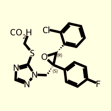 O=C(O)CSc1ncnn1C[C@]1(c2ccc(F)cc2)O[C@@H]1c1ccccc1Cl